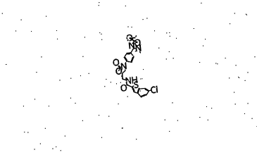 CN(C)C(=NS(C)(=O)=O)c1ccc(N2CC(CNC(=O)c3cc4ccc(Cl)cc4s3)OC2=O)cc1